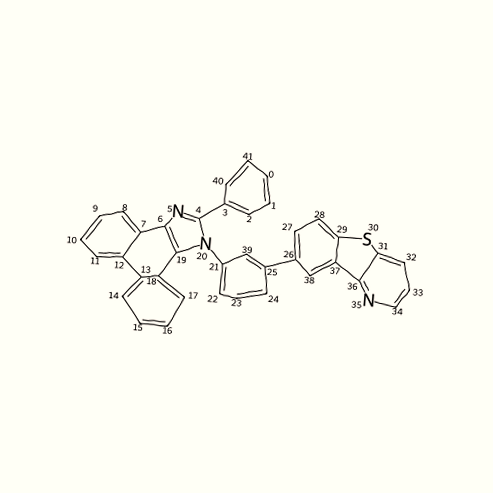 c1ccc(-c2nc3c4ccccc4c4ccccc4c3n2-c2cccc(-c3ccc4sc5cccnc5c4c3)c2)cc1